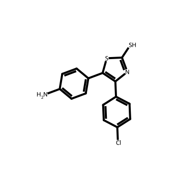 Nc1ccc(-c2sc(S)nc2-c2ccc(Cl)cc2)cc1